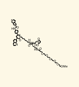 COCCOCCOCCOCCOCCOCCC(=O)NCCCC[C@H](NC(=O)CN1C(=O)C=CC1=O)C(=O)NCCCCCCn1nc(-c2ccc(NC(=O)N3Cc4ccncc4C3)cc2)cc(-c2ccc3cccnc3c2)c1=O